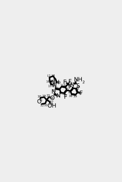 Nc1nc2c(-c3c(C(F)(F)F)cc4c(N5CC6CCC(C5)N6)nc(OCC5(CO)CCOCC5)nc4c3F)ccc(F)c2s1